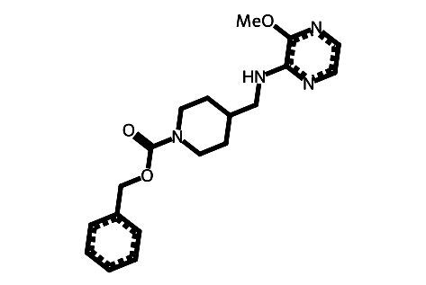 COc1nccnc1NCC1CCN(C(=O)OCc2ccccc2)CC1